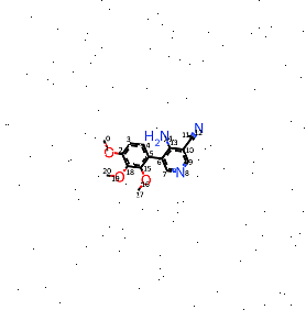 COc1ccc(-c2cncc(C#N)c2N)c(OC)c1OC